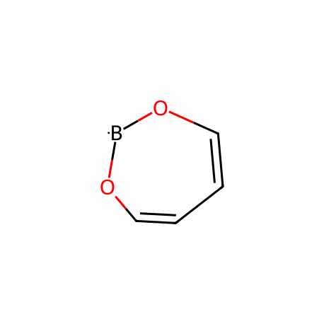 [B]1OC=CC=CO1